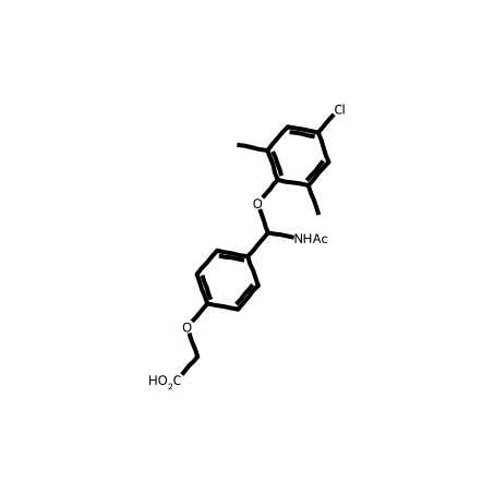 CC(=O)NC(Oc1c(C)cc(Cl)cc1C)c1ccc(OCC(=O)O)cc1